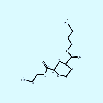 CC(C)CCCOC(=O)C1CCCC(C(=O)OCCO)C1